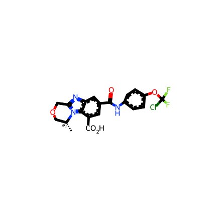 C[C@@H]1COCc2nc3cc(C(=O)Nc4ccc(OC(F)(F)Cl)cc4)cc(C(=O)O)c3n21